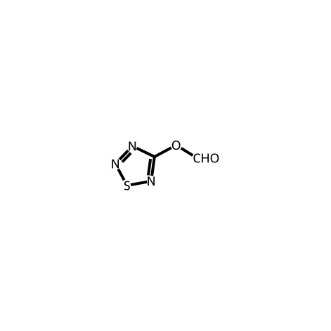 O=COc1nnsn1